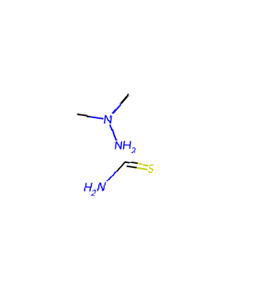 CN(C)N.NC=S